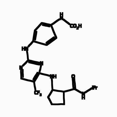 CC(C)NC(=O)C1CCCC1Nc1nc(Nc2ccc(NC(=O)O)cc2)ncc1C(F)(F)F